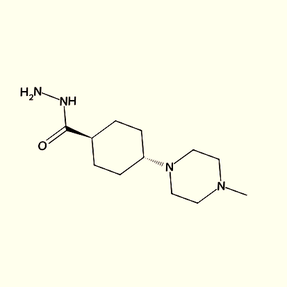 CN1CCN([C@H]2CC[C@H](C(=O)NN)CC2)CC1